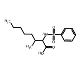 CCCCCC(C)C(NS(=O)(=O)c1ccccc1)C(=O)O